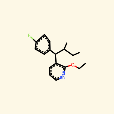 CCOc1ncccc1C(c1ccc(F)cc1)C(C)CC